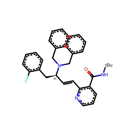 CC(C)(C)NC(=O)c1cccnc1/C=C/[C@@H](Cc1ccccc1F)N(Cc1ccccc1)Cc1ccccc1